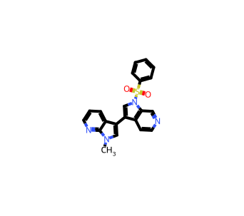 Cn1cc(-c2cn(S(=O)(=O)c3ccccc3)c3cnccc23)c2cccnc21